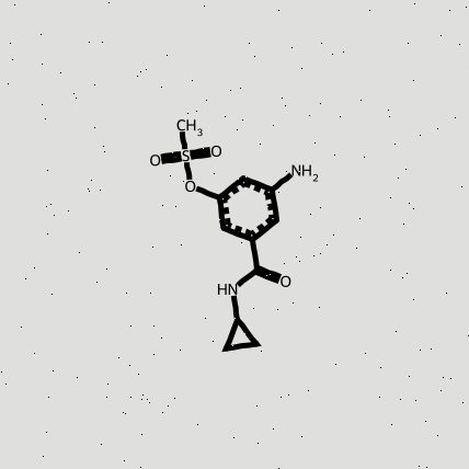 CS(=O)(=O)Oc1cc(N)cc(C(=O)NC2CC2)c1